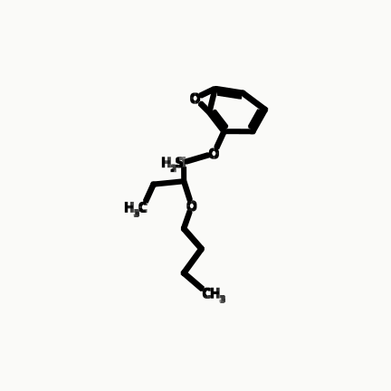 CCCCOC(CC)[SiH2]Oc1cccc2c1O2